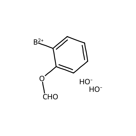 [B+2]c1ccccc1OC=O.[OH-].[OH-]